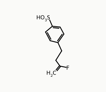 C=C(F)CCc1ccc(S(=O)(=O)O)cc1